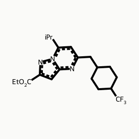 CCOC(=O)c1cc2nc(CC3CCC(C(F)(F)F)CC3)cc(C(C)C)n2n1